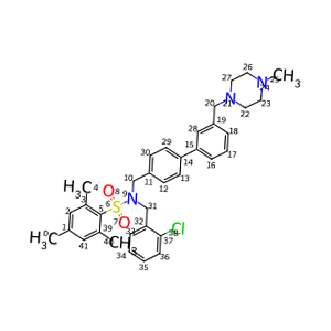 Cc1cc(C)c(S(=O)(=O)N(Cc2ccc(-c3cccc(CN4CCN(C)CC4)c3)cc2)Cc2ccccc2Cl)c(C)c1